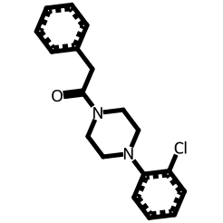 O=C(Cc1ccccc1)N1CCN(c2ccccc2Cl)CC1